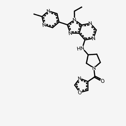 CCn1c(-c2cnc(C)nc2)nc2c(NC3CCN(C(=O)c4cocn4)C3)ncnc21